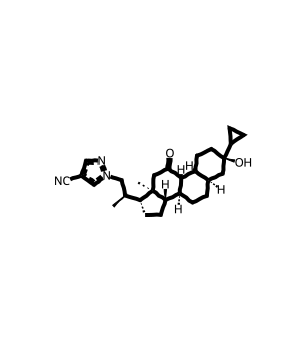 C[C@@H](Cn1cc(C#N)cn1)[C@H]1CC[C@H]2[C@@H]3CC[C@@H]4C[C@@](O)(C5CC5)CC[C@@H]4[C@H]3C(=O)C[C@]12C